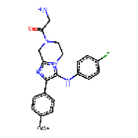 COc1ccc(-c2nc3n(c2Nc2ccc(F)cc2)CCN(C(=O)CN)C3)cc1